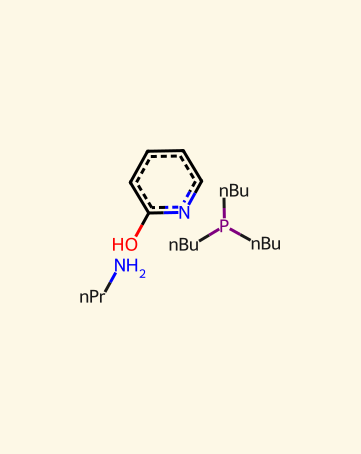 CCCCP(CCCC)CCCC.CCCN.Oc1ccccn1